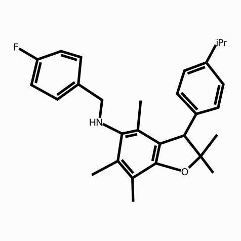 Cc1c(C)c2c(c(C)c1NCc1ccc(F)cc1)C(c1ccc(C(C)C)cc1)C(C)(C)O2